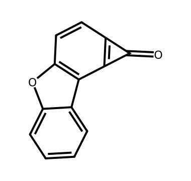 O=c1c2ccc3oc4ccccc4c3c12